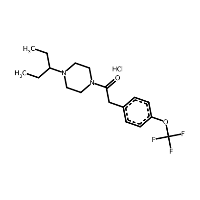 CCC(CC)N1CCN(C(=O)Cc2ccc(OC(F)(F)F)cc2)CC1.Cl